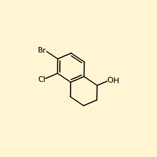 OC1CCCc2c1ccc(Br)c2Cl